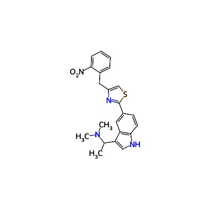 CC(c1c[nH]c2ccc(-c3nc(Cc4ccccc4[N+](=O)[O-])cs3)cc12)N(C)C